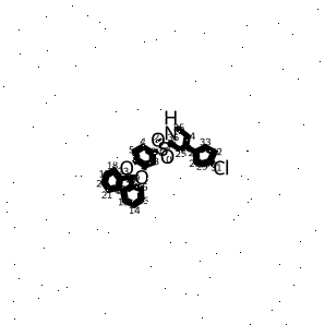 O=S(=O)(c1ccc2c(c1)OC(c1ccccc1)(c1ccccc1)O2)C1CC(c2ccc(Cl)cc2)=CCN1